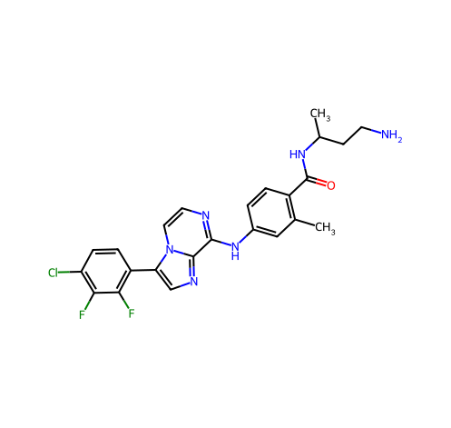 Cc1cc(Nc2nccn3c(-c4ccc(Cl)c(F)c4F)cnc23)ccc1C(=O)NC(C)CCN